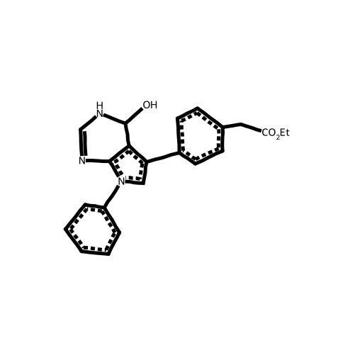 CCOC(=O)Cc1ccc(-c2cn(-c3ccccc3)c3c2C(O)NC=N3)cc1